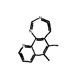 Cc1c2c(c3ncccc3c1C)N=CN=C=C2